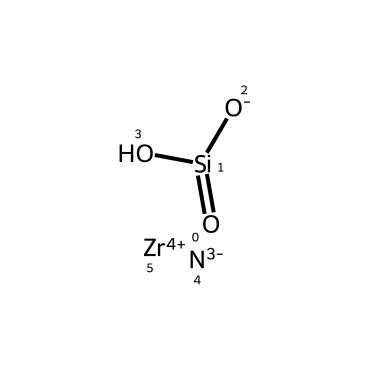 O=[Si]([O-])O.[N-3].[Zr+4]